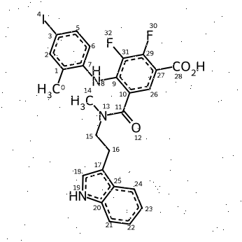 Cc1cc(I)ccc1Nc1c(C(=O)N(C)CCc2c[nH]c3ccccc23)cc(C(=O)O)c(F)c1F